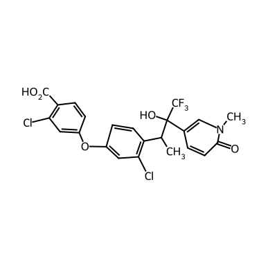 CC(c1ccc(Oc2ccc(C(=O)O)c(Cl)c2)cc1Cl)C(O)(c1ccc(=O)n(C)c1)C(F)(F)F